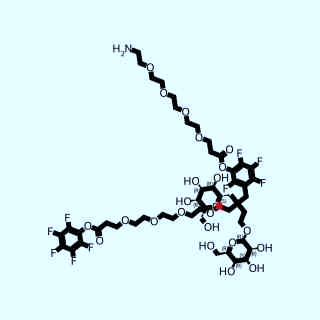 NCCOCCOCCOCCOCCC(=O)Oc1c(F)c(F)c(F)c(CC(CCOCCOCCOCCOCCC(=O)Oc2c(F)c(F)c(F)c(F)c2F)(CCO[C@@H]2O[C@H](CO)[C@H](O)[C@H](O)[C@H]2O)C[C@@H]2O[C@H](CO)[C@H](O)[C@H](O)[C@H]2O)c1F